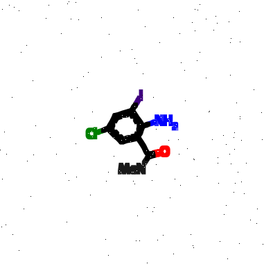 CNC(=O)c1cc(Cl)cc(I)c1N